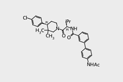 CC(=O)Nc1ccc(-c2cccc(C(=O)N[C@@H](C(=O)N3CC[C@H](c4ccc(Cl)cc4)C(C)(C)C3)C(C)C)c2)cc1